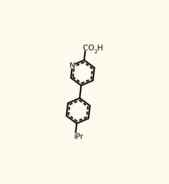 CC(C)c1ccc(-c2ccc(C(=O)O)nc2)cc1